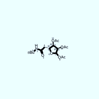 CCCCNC(=O)C[C@H]1OC(OC(C)=O)[C@H](OC(C)=O)[C@@H]1OC(C)=O